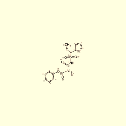 C=CC(c1cccs1)S(=O)(=O)NC(=O)C(CC)C(=O)Oc1ccccc1